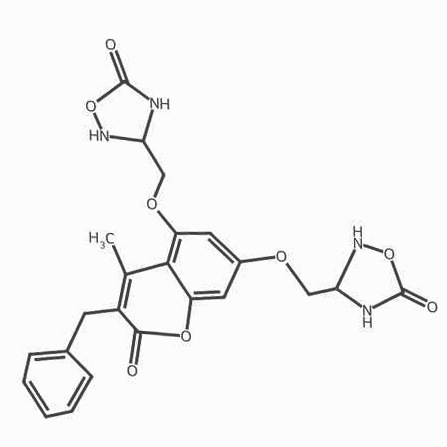 Cc1c(Cc2ccccc2)c(=O)oc2cc(OCC3NOC(=O)N3)cc(OCC3NOC(=O)N3)c12